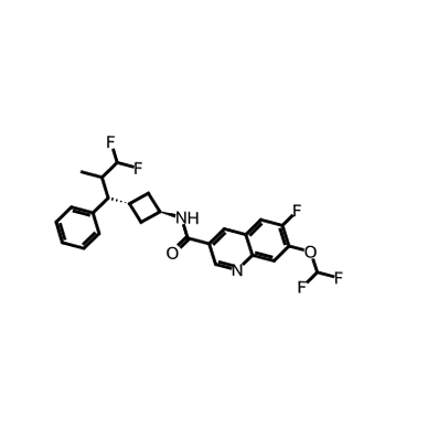 CC(C(F)F)C(c1ccccc1)[C@H]1C[C@H](NC(=O)c2cnc3cc(OC(F)F)c(F)cc3c2)C1